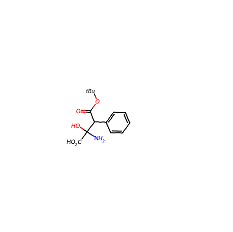 CC(C)(C)OC(=O)C(c1ccccc1)C(N)(O)C(=O)O